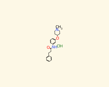 CN1CCC(Oc2cccc(NC(=O)CCc3ccccc3)c2)CC1.Cl